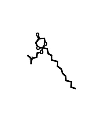 CCCCCCCCCCCCCC1(OCCN(C)C)OCC(=O)CO1